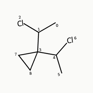 CC(Cl)C1(C(C)Cl)CC1